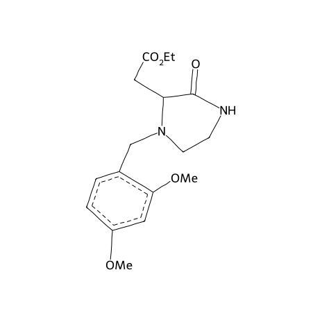 CCOC(=O)CC1C(=O)NCCN1Cc1ccc(OC)cc1OC